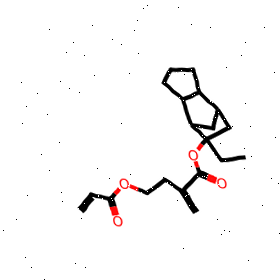 C=CC(=O)OCCC(=C)C(=O)OC1(CC)CC2CC1C1CCCC21